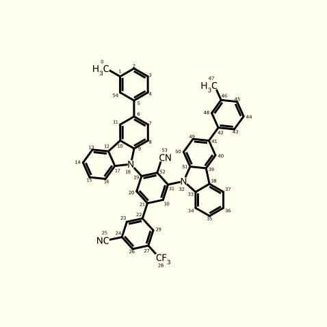 Cc1cccc(-c2ccc3c(c2)c2ccccc2n3-c2cc(-c3cc(C#N)cc(C(F)(F)F)c3)cc(-n3c4ccccc4c4cc(-c5cccc(C)c5)ccc43)c2C#N)c1